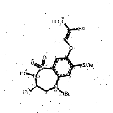 CSc1cc2c(cc1O/C=C(\F)C(=O)O)S(=O)(=O)N(C(C)C)[C@H](C(C)C)CN2C(C)(C)C